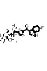 C[C@H](N[S+]([O-])C(C)(C)C)c1csc(C(=O)c2c[nH]c3cc(F)ccc23)n1